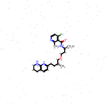 Cc1nccc(F)c1C(=O)N[C@H](CCOC[C@@H](C)CCc1ccc2c(n1)NCCC2)C(=O)O